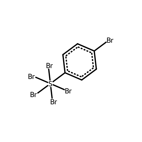 Brc1ccc(S(Br)(Br)(Br)(Br)Br)cc1